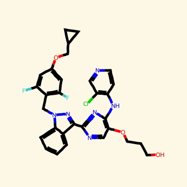 OCCCOc1cnc(-c2nn(Cc3c(F)cc(OCC4CC4)cc3F)c3ccccc23)nc1Nc1ccncc1Cl